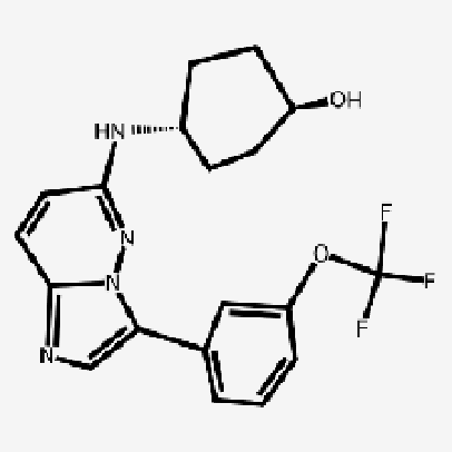 O[C@H]1CC[C@H](Nc2ccc3ncc(-c4cccc(OC(F)(F)F)c4)n3n2)CC1